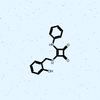 O=c1c(NCc2ccccc2O)c(Nc2ccccc2)c1=O